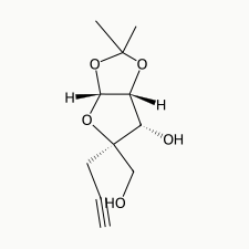 C#CC[C@]1(CO)O[C@@H]2OC(C)(C)O[C@@H]2[C@@H]1O